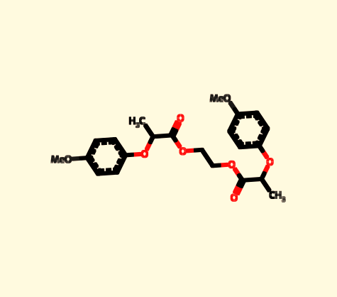 COc1ccc(OC(C)C(=O)OCCOC(=O)C(C)Oc2ccc(OC)cc2)cc1